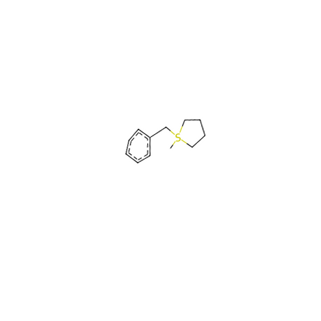 CS1(Cc2ccccc2)CCCC1